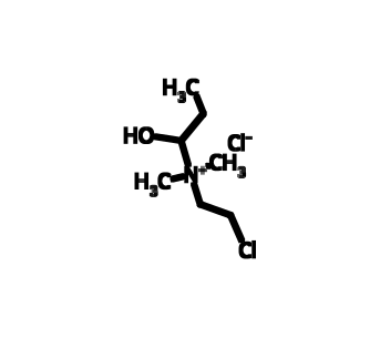 CCC(O)[N+](C)(C)CCCl.[Cl-]